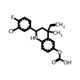 C=CC1(C)CC(c2ccc(F)c(Cl)c2)Nc2ccc(OC(=O)O)cc21